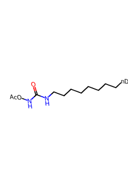 CCCCCCCCCCCCCCCCCCNC(=O)NOC(C)=O